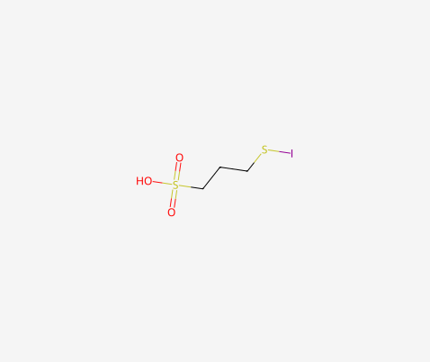 O=S(=O)(O)CCCSI